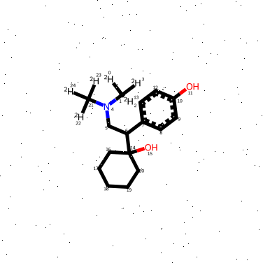 [2H]C([2H])([2H])N(CC(c1ccc(O)cc1)C1(O)CCCCC1)C([2H])([2H])[2H]